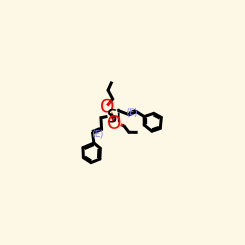 CCCO[Si](C/C=C/c1ccccc1)(C/C=C/c1ccccc1)OCCC